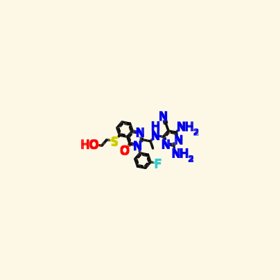 CC(Nc1nc(N)nc(N)c1C#N)c1nc2cccc(SCCO)c2c(=O)n1-c1cccc(F)c1